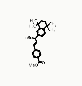 CCCCC(/C=C/c1ccc(C(=O)OC)cc1)c1ccc2c(c1)C(C)(C)CCC2(C)C